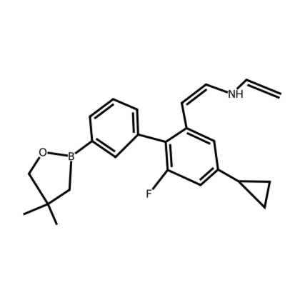 C=CN/C=C\c1cc(C2CC2)cc(F)c1-c1cccc(B2CC(C)(C)CO2)c1